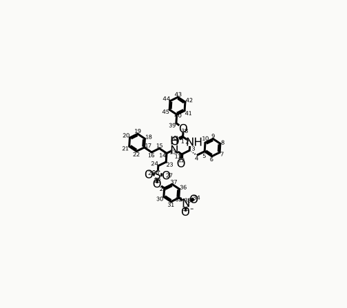 O=C(N[C@H](Cc1ccccc1)C(=O)NC(CCc1ccccc1)CCS(=O)(=O)Oc1ccc([N+](=O)[O-])cc1)OCc1ccccc1